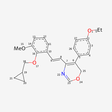 CCOc1ccc(C2=C(/C=C/c3cccc(OC)c3OCC3CC3)N=COC2)cc1